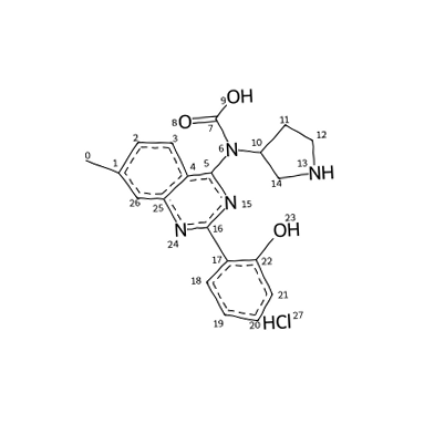 Cc1ccc2c(N(C(=O)O)C3CCNC3)nc(-c3ccccc3O)nc2c1.Cl